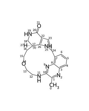 Cc1nc2cccc3c2nc1NCCOCC[C@H]1CNC(=O)c2cc-3[nH]c21